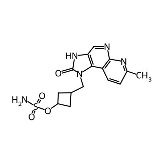 Cc1ccc2c(ncc3[nH]c(=O)n(CC4CC(OS(N)(=O)=O)C4)c32)n1